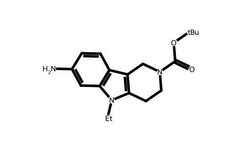 CCn1c2c(c3ccc(N)cc31)CN(C(=O)OC(C)(C)C)CC2